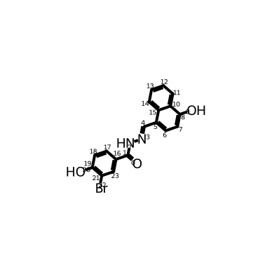 O=C(N/N=C/c1ccc(O)c2ccccc12)c1ccc(O)c(Br)c1